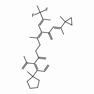 C=C/C(=C(/C(=C)C)C(=C)CC/C(C)=C(/C=C(\C)C(C)(F)F)C(=C)/C=C(\C)C1(C)CC1)C1(C)CCCC1